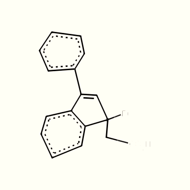 CCC1(CC(=O)O)C=C(c2ccccc2)c2ccccc21